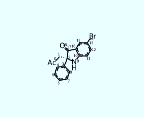 CC(=O)C[C@@]1(c2ccccc2)Nc2ccc(Br)cc2C1=O